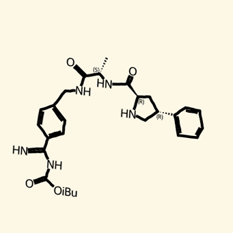 CC(C)COC(=O)NC(=N)c1ccc(CNC(=O)[C@H](C)NC(=O)[C@H]2C[C@H](c3ccccc3)CN2)cc1